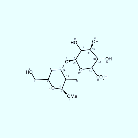 CO[C@H]1OC(CO)C[C@H](O[C@@H]2OC(C(=O)O)[C@@H](O)[C@H](O)C2O)C1C